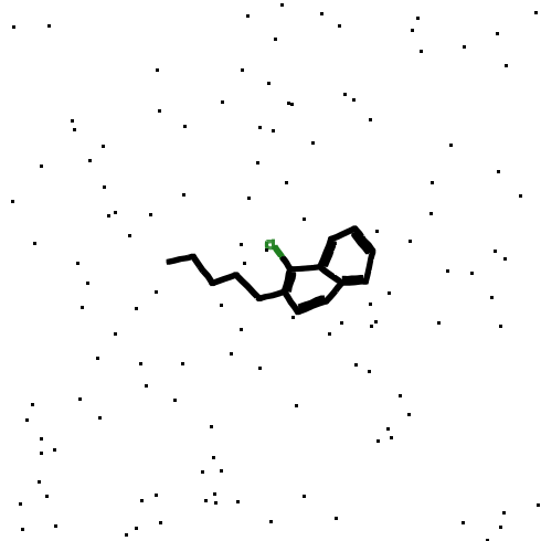 CCCCCc1ccc2ccccc2c1Cl